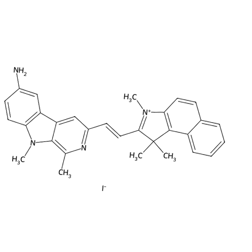 Cc1nc(C=CC2=[N+](C)c3ccc4ccccc4c3C2(C)C)cc2c3cc(N)ccc3n(C)c12.[I-]